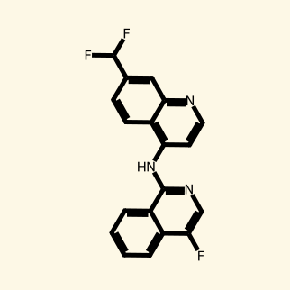 Fc1cnc(Nc2ccnc3cc(C(F)F)ccc23)c2ccccc12